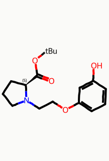 CC(C)(C)OC(=O)[C@@H]1CCCN1CCOc1cccc(O)c1